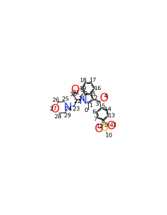 Cc1c(C(=O)c2ccc(S(C)(=O)=O)cc2)c2cccc3c2n1C(CN1CCOCC1)CO3